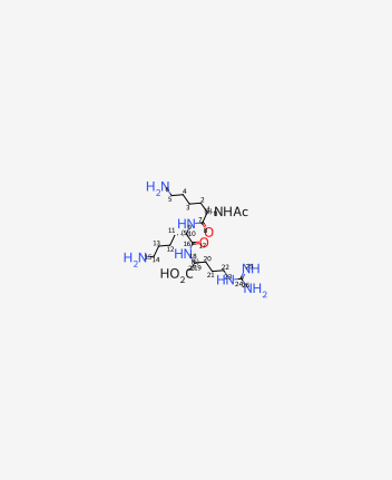 CC(=O)N[C@@H](CCCCN)C(=O)N[C@@H](CCCCN)C(=O)N[C@@H](CCCNC(=N)N)C(=O)O